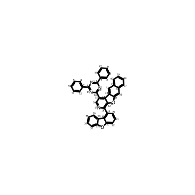 c1ccc(-c2nc(-c3ccccc3)nc(-c3cnc(-c4cccc5oc6ccccc6c45)c4oc5cc6ccccc6cc5c34)n2)cc1